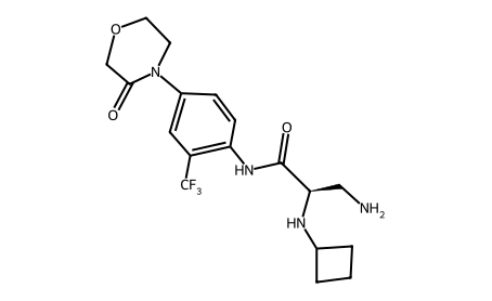 NC[C@@H](NC1CCC1)C(=O)Nc1ccc(N2CCOCC2=O)cc1C(F)(F)F